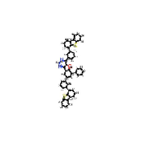 c1ccc(-c2cc(-c3cccc(-c4cccc5c4sc4ccccc45)c3)cc3c2oc2c(-c4cccc(-c5cccc6c5sc5ccccc56)c4)ncnc23)cc1